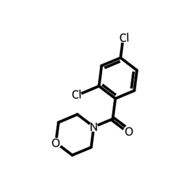 O=C(c1ccc(Cl)cc1Cl)N1CCOCC1